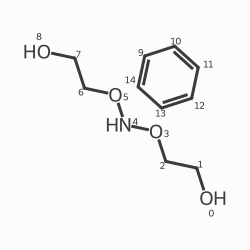 OCCONOCCO.c1ccccc1